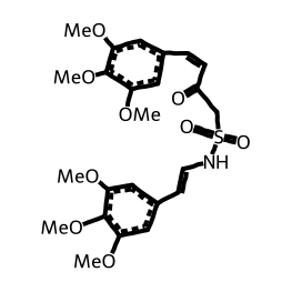 COc1cc(/C=C\C(=O)CS(=O)(=O)N/C=C/c2cc(OC)c(OC)c(OC)c2)cc(OC)c1OC